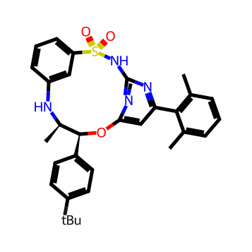 Cc1cccc(C)c1-c1cc2nc(n1)NS(=O)(=O)c1cccc(c1)N[C@H](C)[C@H](c1ccc(C(C)(C)C)cc1)O2